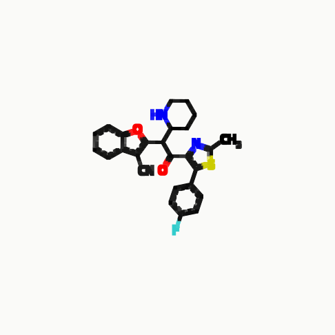 Cc1nc(C(=O)C(c2oc3ccccc3c2C#N)C2CCCCN2)c(-c2ccc(F)cc2)s1